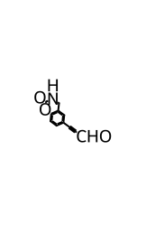 O=CC#Cc1ccc2c(c1)CNC(=O)O2